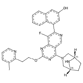 Cc1cccnc1CCOc1nc(N2C[C@H]3CC[C@@H](C2)N3)c2cnc(-c3cc(O)cc4ccccc34)c(F)c2n1